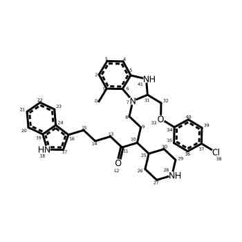 Cc1cccc2c1N(CCC(C(=O)CCCc1c[nH]c3ccccc13)C1CCNCC1)C(COc1ccc(Cl)cc1)N2